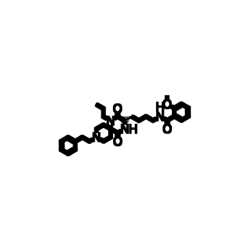 CCCN1C(=O)[C@H](CCCCNC(=O)c2ccccc2OC)NC(=O)C12CCN(CCc1ccccc1)CC2